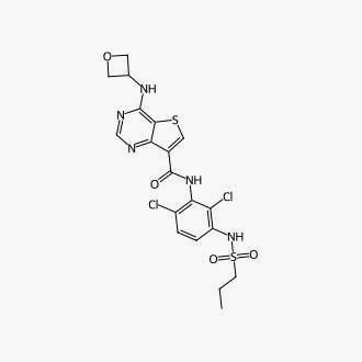 CCCS(=O)(=O)Nc1ccc(Cl)c(NC(=O)c2csc3c(NC4COC4)ncnc23)c1Cl